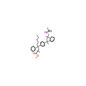 CCCCCC(CC(C)(C)C(=O)OC)(c1ccccc1)c1ccc(C(C)(CC(C)(C)CPBI)c2ccccc2)cc1